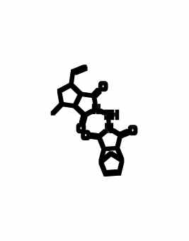 C=CC1CC(C)C2C(=O)N(BN3C(=O)C4C5C=CC(C5)C4C3=O)C(=O)C12